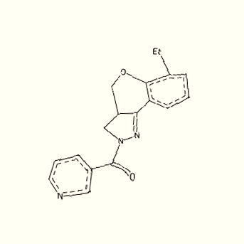 CCc1cccc2c1OCC1CN(C(=O)c3cccnc3)N=C21